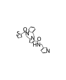 O=C(NCc1cccnc1)c1ccc2n1Cc1ccccc1N(C(=O)c1cccs1)C2